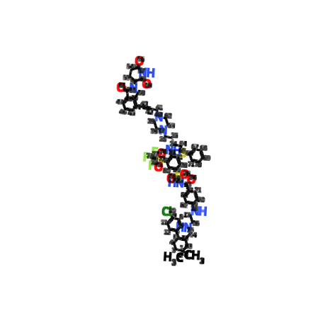 CC1(C)CCC(c2ccc(Cl)cc2)=C(CNCCNc2ccc(C(=O)NS(=O)(=O)c3ccc(N[C@H](CCN4CCN(CC#Cc5cccc6c5CN(C5CCC(=O)NC5=O)C6=O)CC4)CSc4ccccc4)c(S(=O)(=O)C(F)(F)F)c3)cc2)C1